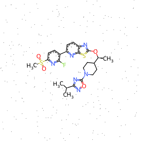 CC(C)c1noc(N2CCC([C@H](C)Oc3nc4ccc(-c5ccc(S(C)(=O)=O)nc5F)nc4s3)CC2)n1